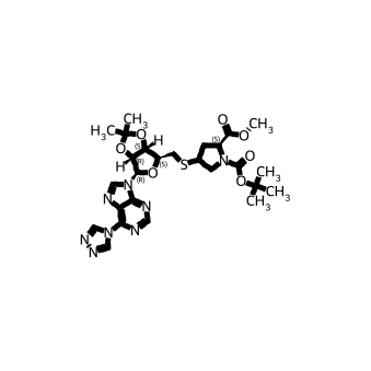 COC(=O)[C@@H]1CC(SC[C@H]2O[C@@H](n3cnc4c(-n5cnnc5)ncnc43)[C@@H]3OC(C)(C)O[C@@H]32)CN1C(=O)OC(C)(C)C